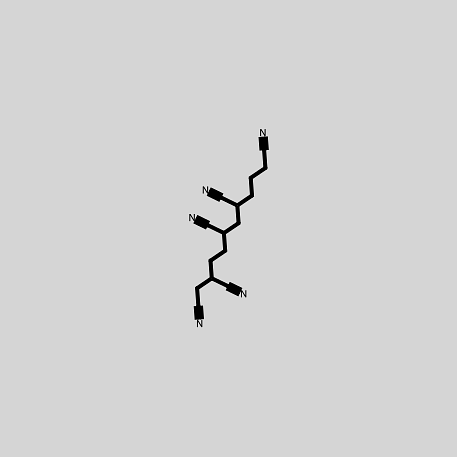 N#CCCCC(C#N)CC(C#N)CCC(C#N)CC#N